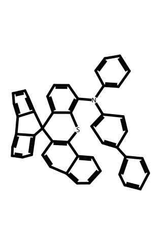 c1ccc(-c2ccc(N(c3ccccc3)c3cccc4c3Sc3c(ccc5ccccc35)C43c4ccccc4-c4ccccc43)cc2)cc1